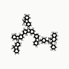 CC1(C)c2ccccc2-c2ccc(-n3c4ccccc4c4cc(-c5ccc6c(c5)c5cc(-c7ccc8c(c7)c7ccccc7n8-c7ccc(-c8nc(-c9ccccc9)c9ccc%10ccccc%10c9n8)cc7)ccc5n6-c5ccc6c(c5)C(C)(C)c5ccccc5-6)ccc43)cc21